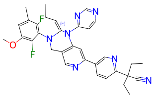 CC/C=C1\N(c2c(F)c(C)cc(OC)c2F)Cc2cnc(-c3ccc(C(C#N)(CC)CC)nc3)cc2N1c1ccncn1